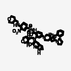 CC(C)Oc1ccccc1[C@@H]1CCCN1C1CC2(CCN(c3ccc(C(=O)NS(=O)(=O)c4ccc(NCC5CCOCC5)c([N+](=O)[O-])c4)c(N4C[C@@H]5CCOC[C@@H]5Oc5nc6[nH]ccc6cc54)c3)CC2)C1